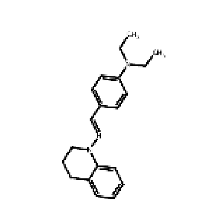 CCN(CC)c1ccc(/C=N/N2CCCc3ccccc32)cc1